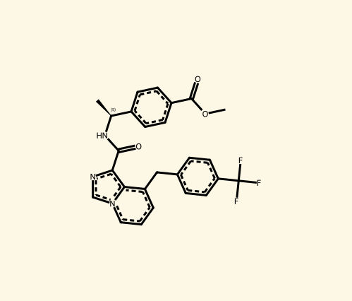 COC(=O)c1ccc([C@H](C)NC(=O)c2ncn3cccc(Cc4ccc(C(F)(F)F)cc4)c23)cc1